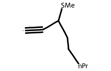 [C]#CC(CCCCC)SC